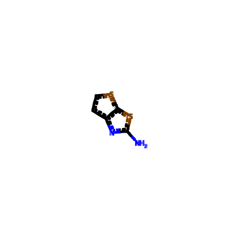 Nc1nc2ccsc2s1